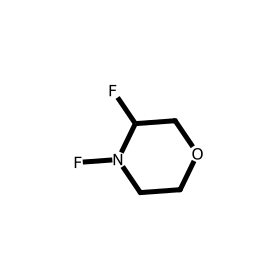 FC1COCCN1F